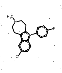 CN1CCc2c(n(-c3ccc(F)cc3)c3ccc(Cl)cc23)CC1